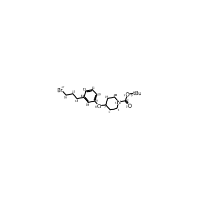 CC(C)(C)OC(=O)N1CCC(Oc2cccc(CCCBr)c2)CC1